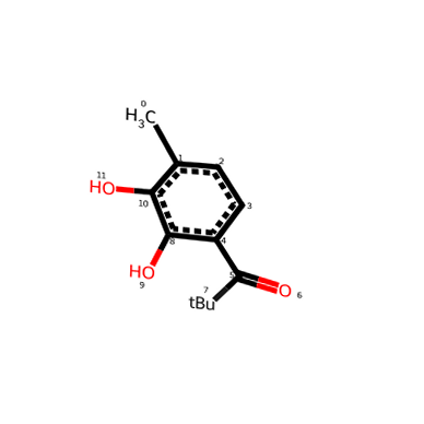 Cc1ccc(C(=O)C(C)(C)C)c(O)c1O